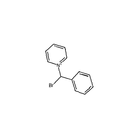 BrC(c1ccccc1)[n+]1ccccc1